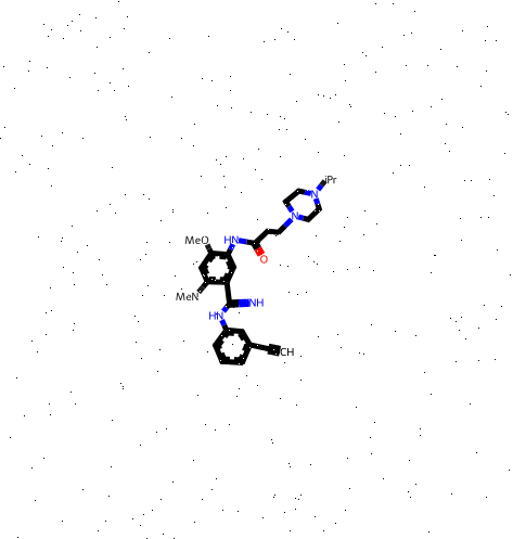 C#Cc1cccc(NC(=N)c2cc(NC(=O)CCN3CCN(C(C)C)CC3)c(OC)cc2NC)c1